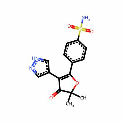 CC1(C)OC(c2ccc(S(N)(=O)=O)cc2)=C(c2cn[nH]c2)C1=O